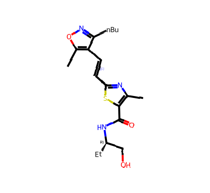 CCCCc1noc(C)c1/C=C/c1nc(C)c(C(=O)N[C@H](CC)CO)s1